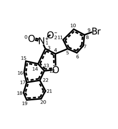 O=[N+]([O-])c1c(-c2ccc(Br)cc2)oc2c1ccc1ccccc12